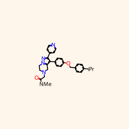 CNC(=O)CN1CCn2nc(-c3ccncc3)c(-c3ccc(OCc4ccc(C(C)C)cc4)cc3)c2C1